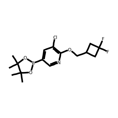 CC1(C)OB(c2cnc(OCC3CC(F)(F)C3)c(Cl)c2)OC1(C)C